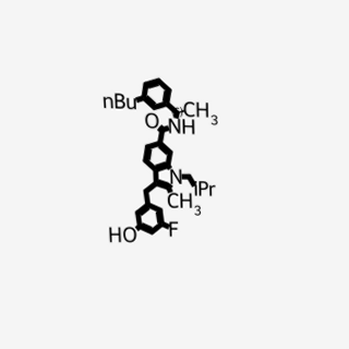 CCCCc1cccc([C@H](C)NC(=O)c2ccc3c(Cc4cc(O)cc(F)c4)c(C)n(CC(C)C)c3c2)c1